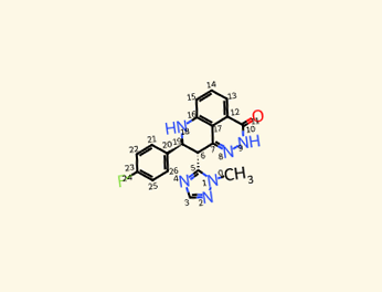 Cn1ncnc1[C@H]1c2n[nH]c(=O)c3cccc(c23)N[C@@H]1c1ccc(F)cc1